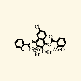 CCCCCC(Oc1c(OCC)c(OCC)c(OC(=O)c2ccccc2OC)c2ccc(Cl)cc12)c1ccccc1F